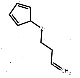 C=CC[CH2][Zr][CH]1C=CC=C1